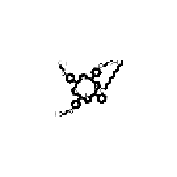 CCCCCCCCCCOc1ccccc1C1=C2C=CC(=N2)C(c2ccc(OCCO)cc2)=C2C=CC(=N2)C(c2ccc(OCCO)cc2)=C2C=CC(=N2)C(c2ccc(OCCO)cc2)=C2C=CC1=N2